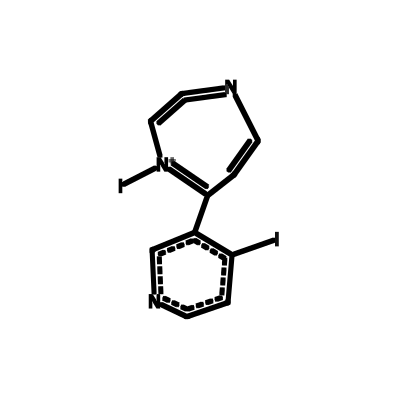 Ic1ccncc1C1=[N+](I)C=C=NC=C1